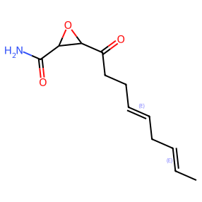 C/C=C/C/C=C/CCC(=O)C1OC1C(N)=O